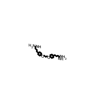 N=C(N)CCCc1ccc(OCCCOc2ccc(CCCC(=N)N)cc2)cc1